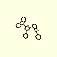 c1ccc(-c2nc(-c3cccc4sc(-c5ccccc5)nc34)nc(-n3c4ccccc4c4ccccc43)n2)cc1